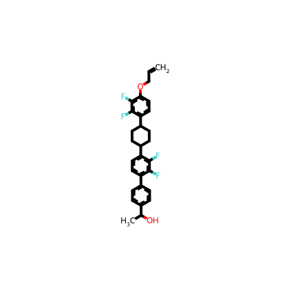 C=CCOc1ccc(C2CCC(c3ccc(-c4ccc(C(C)O)cc4)c(F)c3F)CC2)c(F)c1F